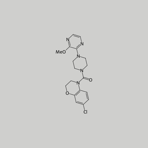 COc1nccnc1N1CCN(C(=O)N2CCOc3cc(Cl)ccc32)CC1